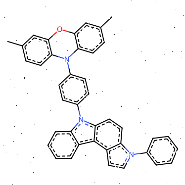 Cc1ccc2c(c1)Oc1cc(C)ccc1N2c1ccc(-n2c3ccccc3c3c4ccn(-c5ccccc5)c4ccc32)cc1